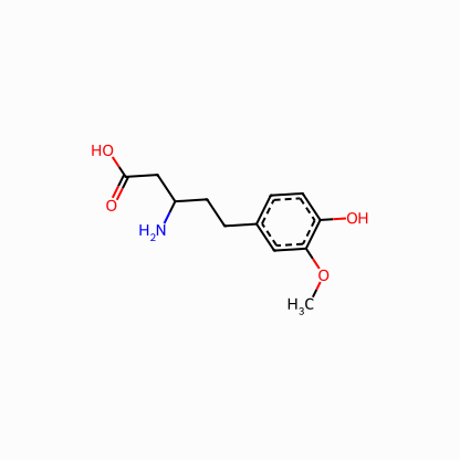 COc1cc(CCC(N)CC(=O)O)ccc1O